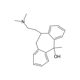 CN(C)CCC1Cc2ccccc2C(C)(O)c2ccccc21